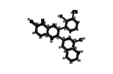 N#Cc1cccc(-c2nc3[nH]c(=O)ccc3nc2-c2cc(Cl)c3ncccc3c2)c1F